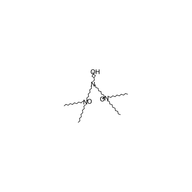 CCCCCCCCCCN(CCCCCCCCCC)C(=O)CCCCCCCN(CCCCCCCC(=O)N(CCCCCCCCCC)CCCCCCCCCC)CCC1CC(O)C1